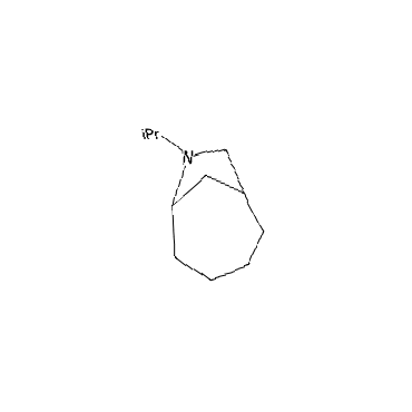 CC(C)N1CC2CCCCC1C2